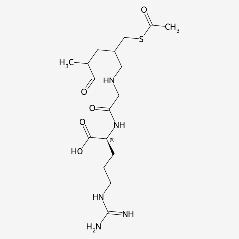 CC(=O)SCC(CNCC(=O)N[C@@H](CCCNC(=N)N)C(=O)O)CC(C)C=O